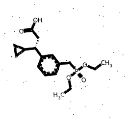 CCOP(=O)(Cc1cccc([C@@H](CC(=O)O)C2CC2)c1)OCC